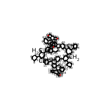 C=C1CC(c2ccccc2)=C(C)C(c2cccc(C3Nc4ccc(-c5cc(-c6ccccc6)cc(C6C=C(c7cccc(C8C=Cc9ccccc9-c9c8ccc8c9Sc9ccccc9C89c8ccccc8-c8ccccc89)c7)C(C)=C(c7ccccc7)CC6=C)c5)cc4-c4c3ccc3c4Sc4ccccc4C34c3ccccc3-c3ccccc34)c2)=CC1c1ccc(-c2ccccc2)cc1